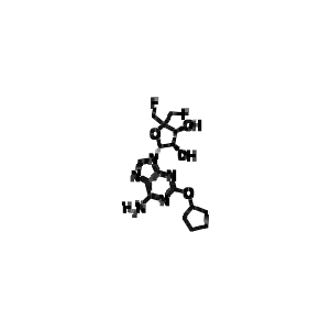 Nc1nc(OC2CCCC2)nc2c1ncn2[C@@H]1OC(CF)(CF)[C@@H](O)[C@H]1O